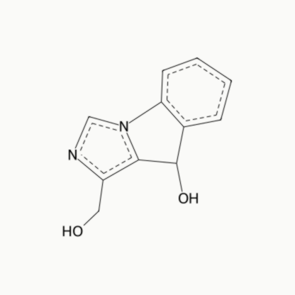 OCc1ncn2c1C(O)c1ccccc1-2